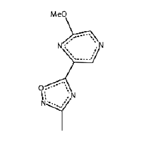 COc1cncc(-c2nc(C)no2)n1